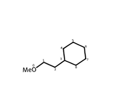 [CH2]OCCC1CCCCC1